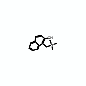 C[N+](C)(C)Cc1c(O)ccc2ccccc12